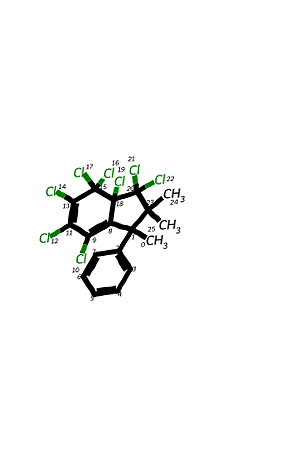 CC1(c2ccccc2)C2=C(Cl)C(Cl)=C(Cl)C(Cl)(Cl)C2(Cl)C(Cl)(Cl)C1(C)C